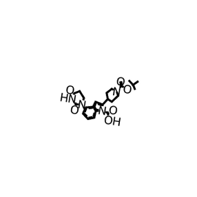 CC(C)(C)OC(=O)N1CCC(c2cc3c(N4CCC(=O)NC4=O)cccc3n2C(=O)O)CC1